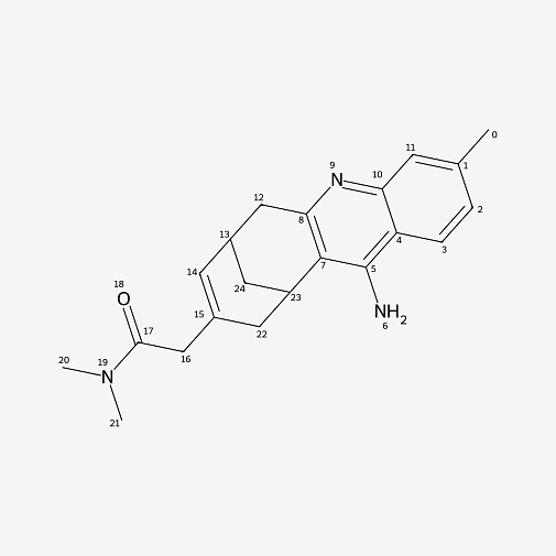 Cc1ccc2c(N)c3c(nc2c1)CC1C=C(CC(=O)N(C)C)CC3C1